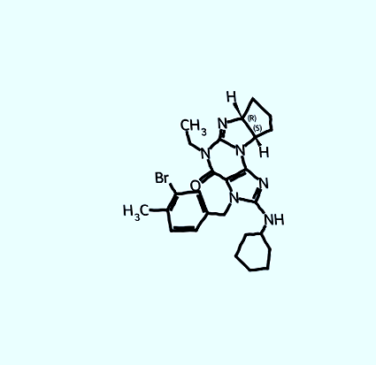 CCN1C(=O)c2c(nc(NC3CCCCC3)n2Cc2ccc(C)c(Br)c2)N2C1=N[C@@H]1CCC[C@@H]12